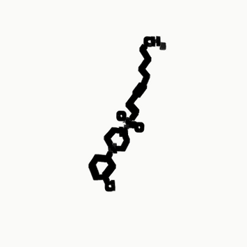 CCCCCC#CC=CS(=O)(=O)N1CCN(c2cccc(Cl)c2)CC1